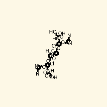 Cc1c(COc2cc(OCc3cncc(C#N)c3)c(CNC(CCO)C(=O)O)cc2Cl)cccc1-n1cccc(COc2cc(OCc3cncc(C#N)c3)c(CNC(CCO)C(=O)O)cc2Cl)c1=O